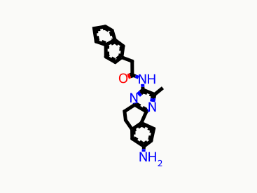 Cc1nc2c(nc1NC(=O)Cc1ccc3ccccc3c1)CCc1cc(N)ccc1-2